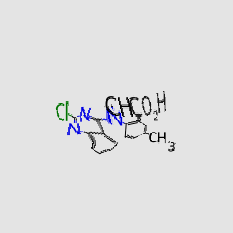 Cc1ccc(N(C)c2nc(Cl)nc3ccccc23)c(C(=O)O)c1